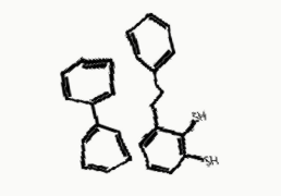 Sc1cccc(CCc2ccccc2)c1S.c1ccc(-c2ccccc2)cc1